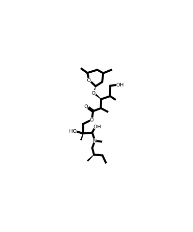 CC[C@@H](C)CN(C)C(O)[C@](C)(O)COC(=O)C(C)[C@@H](O[C@H]1CC(C)CC(C)O1)C(C)CO